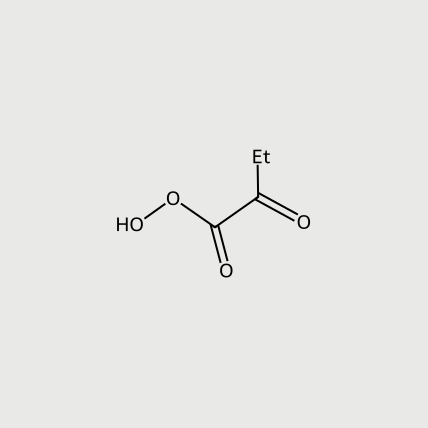 CCC(=O)C(=O)OO